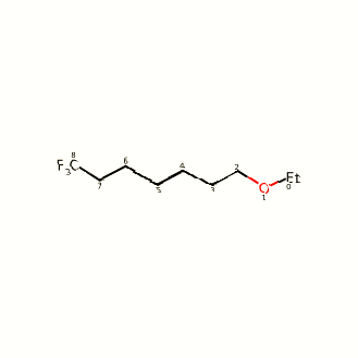 CCOCCCCC[CH]C(F)(F)F